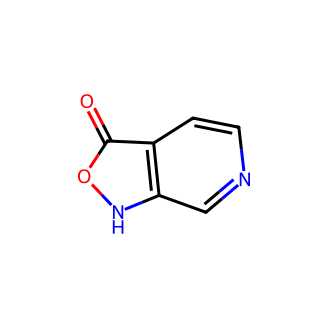 O=c1o[nH]c2cnccc12